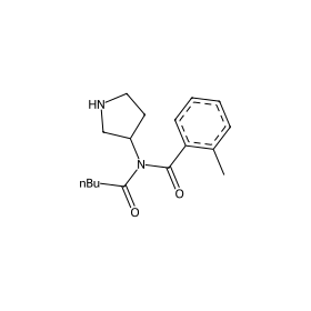 CCCCC(=O)N(C(=O)c1ccccc1C)C1CCNC1